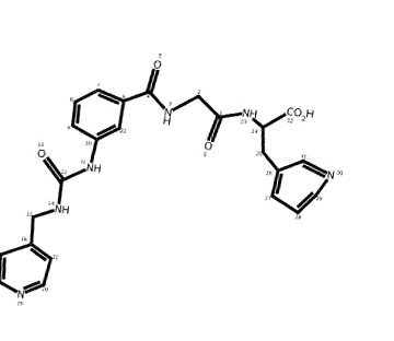 O=C(CNC(=O)c1cccc(NC(=O)NCc2ccncc2)c1)NC(Cc1cccnc1)C(=O)O